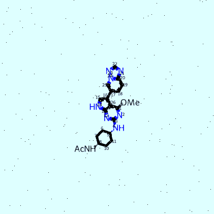 COc1nc(N[C@H]2CC[C@@H](NC(C)=O)CC2)nc2[nH]cc(-c3ccc4ncnn4c3)c12